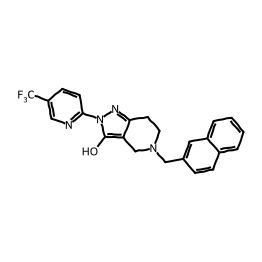 Oc1c2c(nn1-c1ccc(C(F)(F)F)cn1)CCN(Cc1ccc3ccccc3c1)C2